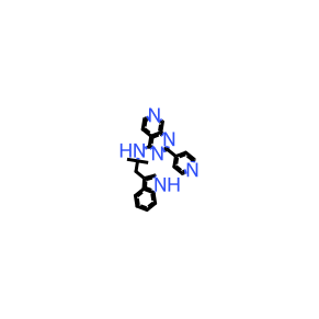 CC(C)(Cc1c[nH]c2ccccc12)Nc1nc(-c2ccncc2)nc2cnccc12